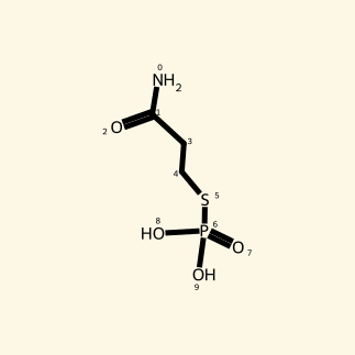 NC(=O)CCSP(=O)(O)O